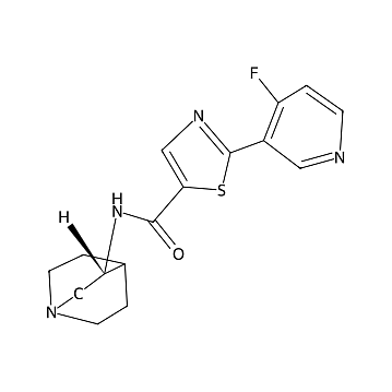 O=C(N[C@H]1CN2CCC1CC2)c1cnc(-c2cnccc2F)s1